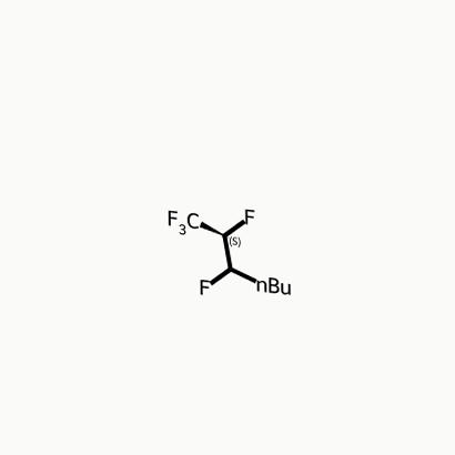 [CH2]CCCC(F)[C@H](F)C(F)(F)F